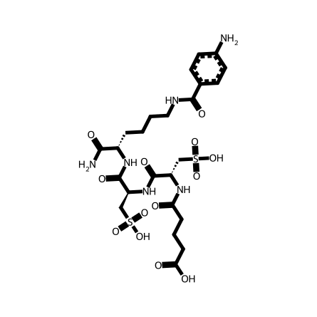 NC(=O)[C@H](CCCCNC(=O)c1ccc(N)cc1)NC(=O)[C@H](CS(=O)(=O)O)NC(=O)[C@H](CS(=O)(=O)O)NC(=O)CCCC(=O)O